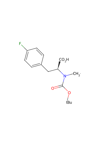 [CH2]N(C(=O)OC(C)(C)C)[C@@H](Cc1ccc(F)cc1)C(=O)O